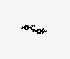 N=C(CCNc1ccc(S(N)(=O)=O)cc1)c1ccc(Cl)cc1